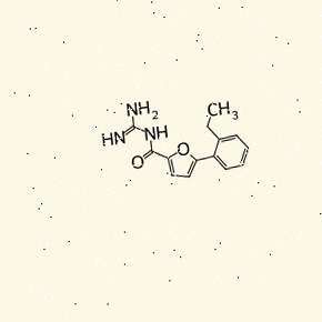 CCc1ccccc1-c1ccc(C(=O)NC(=N)N)o1